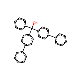 OC(c1ccccc1)(c1ccc(-c2ccccc2)cc1)c1ccc(-c2ccccc2)cc1